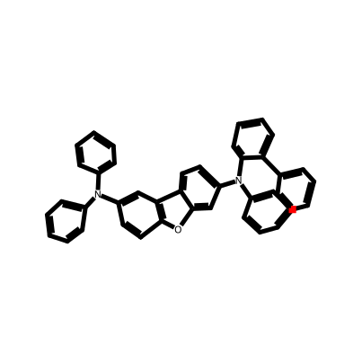 c1ccc(-c2ccccc2N(c2ccccc2)c2ccc3c(c2)oc2ccc(N(c4ccccc4)c4ccccc4)cc23)cc1